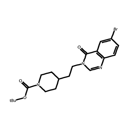 CC(C)(C)OC(=O)N1CCC(CCn2cnc3ccc(Br)cc3c2=O)CC1